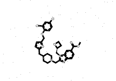 COC(=O)c1ccc2nc(CN3CCC(Cc4ccc(COc5ccc(Cl)cc5Cl)o4)CC3)n(C[C@@H]3CCO3)c2c1